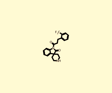 O=C(CCc1ccccc1C(F)(F)F)N1C(=O)C2(CCNCC2)c2ccccc21